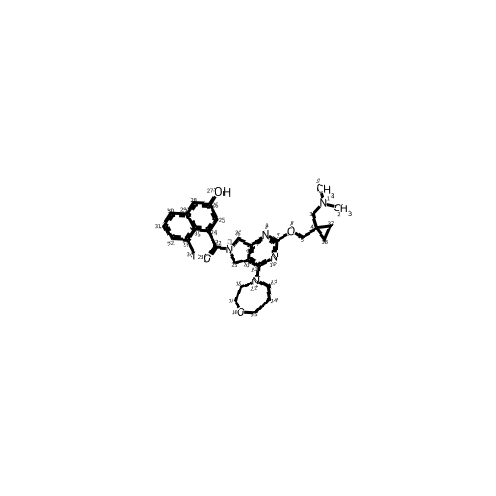 CN(C)CC1(COc2nc3c(c(N4CCCOCC4)n2)CN(C(=O)c2cc(O)cc4cccc(I)c24)C3)CC1